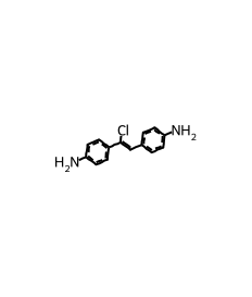 Nc1ccc(/C=C(\Cl)c2ccc(N)cc2)cc1